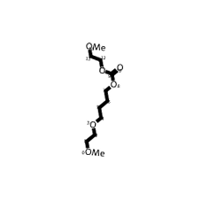 COCCOCCCCOC(=O)OCCOC